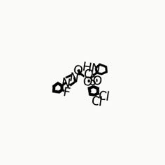 O=C(COC(C1CCCCN1)S(=O)(=O)c1ccc(Cl)c(Cl)c1)N1CCN(c2ccccc2F)CC1